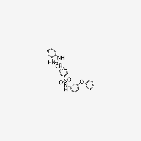 CC1(Cc2ccc(S(=O)(=O)Nc3cccc(Oc4ccccc4)c3)cc2)Nc2ccccc2N1